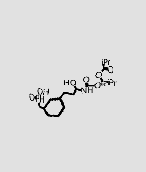 CC(C)C(=O)O[C@H](OC(=O)NC(O)CCC1CCCC(C[PH](=O)O)C1)C(C)C